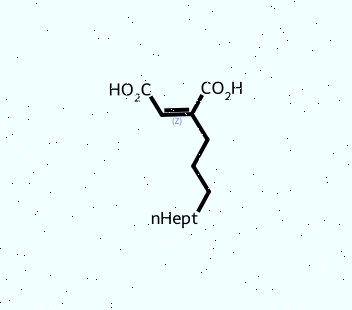 CCCCCCCCCC/C(=C/C(=O)O)C(=O)O